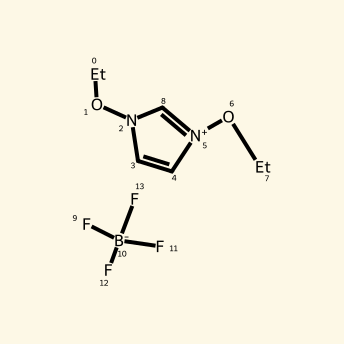 CCOn1cc[n+](OCC)c1.F[B-](F)(F)F